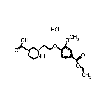 CCOC(=O)c1ccc(OCC[C@@H]2CN(C(=O)O)CCN2)c(OC)c1.Cl